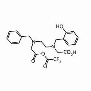 O=C(O)CN(CCN(CC(=O)OC(=O)C(F)(F)F)Cc1ccccc1)Cc1ccccc1O